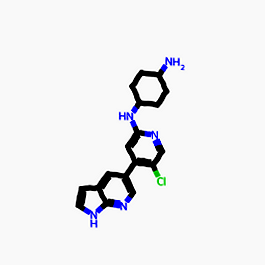 NC1CCC(Nc2cc(-c3cnc4[nH]ccc4c3)c(Cl)cn2)CC1